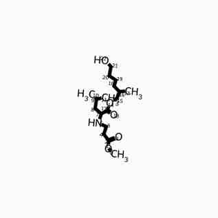 COC(=O)CCNC(CC(C)C)C(=O)OCC(C)CCCCO